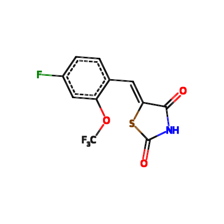 O=C1NC(=O)C(=Cc2ccc(F)cc2OC(F)(F)F)S1